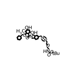 Cc1c(O)cc(O)c(C(=O)N2Cc3ccc(CN4CCN(CCOCCNC(=O)OC(C)(C)C)CC4)cc3C2)c1OCc1ccccc1